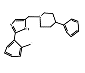 Fc1ccccc1-c1ncc(CN2CCC(c3ccccc3)CC2)[nH]1